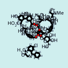 CN1C(=O)CN=C(c2ccccc2)c2cc(Cl)ccc21.CN[C@H](CC(C)C)C(=O)N[C@H]1C(=O)N[C@@H](CC(N)=O)C(=O)N[C@H]2C(=O)N[C@H]3C(=O)N[C@H](C(=O)N[C@@H](C(=O)O)c4cc(O)cc(O)c4-c4cc3ccc4O)[C@H](O)c3ccc(c(Cl)c3)Oc3cc2cc(c3O[C@@H]2O[C@H](CO)[C@@H](O)[C@H](O)[C@H]2O[C@H]2C[C@](C)(N)C(O)[C@H](C)O2)Oc2ccc(cc2Cl)[C@H]1O